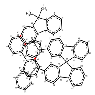 CC1(C)c2ccccc2-c2c(N(c3ccc4c(c3)C3(c5ccccc5-c5ccc(N(c6ccccc6)c6ccccc6)cc53)c3ccccc3-4)c3ccccc3-c3ccccc3)cccc21